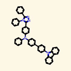 c1ccc(-c2nnc(-c3ccc(N(c4ccccc4)c4ccc(-c5ccc(-n6c7ccccc7c7ccccc76)cc5)cc4)cc3)n2-c2ccccc2)cc1